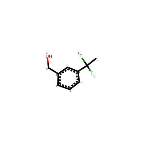 CC(F)(F)c1cccc(CO)c1